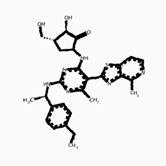 CCc1ccc([C@@H](C)Nc2nc(C)c(-c3nc4c(C)nccc4s3)c(NC3C[C@H](CO)[C@@H](O)C3=O)n2)cc1